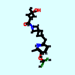 Cc1nc(CC2CC3(C2)CN(C(=O)C2CC(C)(O)C2)C3)ccc1OC(F)F